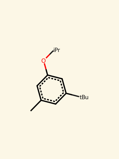 Cc1cc(OC(C)C)cc(C(C)(C)C)c1